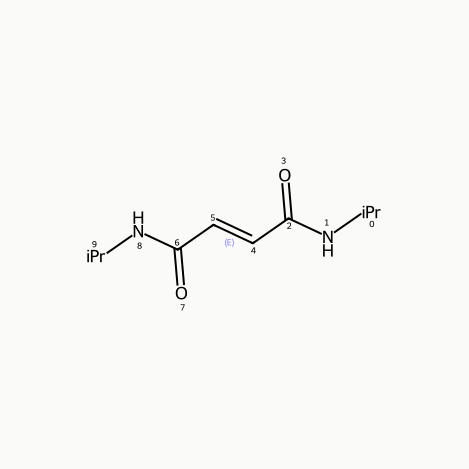 CC(C)NC(=O)/C=C/C(=O)NC(C)C